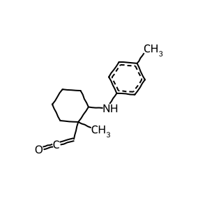 Cc1ccc(NC2CCCCC2(C)C=C=O)cc1